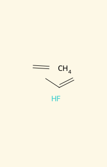 C.C=C.C=CC.F